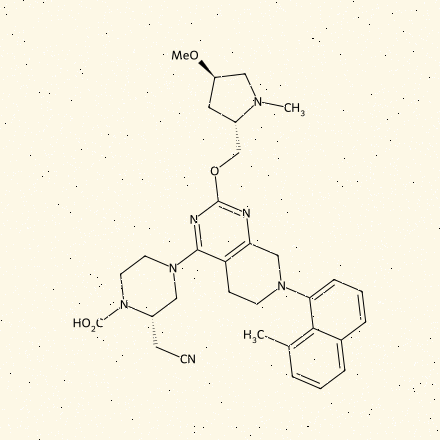 CO[C@@H]1C[C@@H](COc2nc3c(c(N4CCN(C(=O)O)[C@@H](CC#N)C4)n2)CCN(c2cccc4cccc(C)c24)C3)N(C)C1